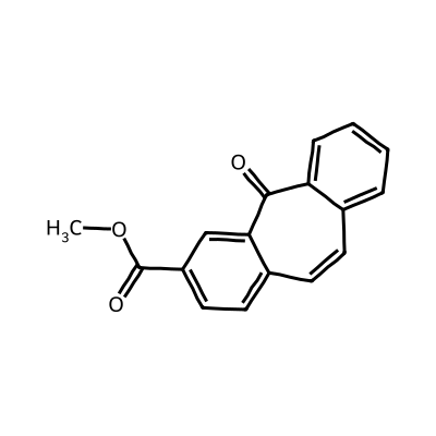 COC(=O)c1ccc2ccc3ccccc3c(=O)c2c1